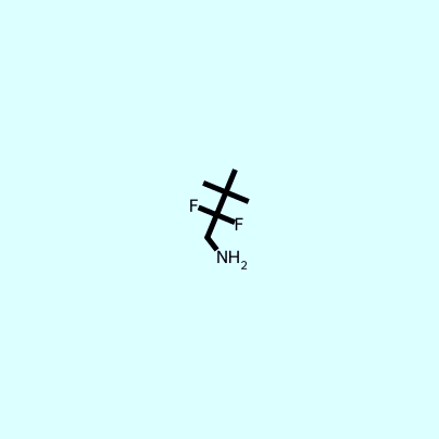 CC(C)(C)C(F)(F)CN